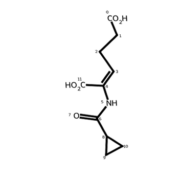 O=C(O)CC/C=C(/NC(=O)C1CC1)C(=O)O